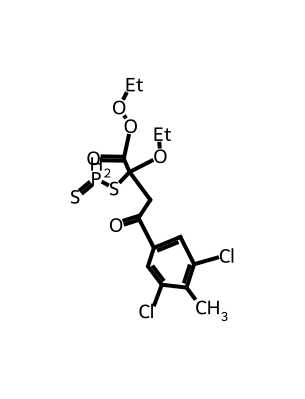 CCOOC(=O)C(CC(=O)c1cc(Cl)c(C)c(Cl)c1)(OCC)S[PH2]=S